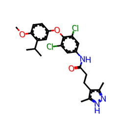 COc1ccc(Oc2c(Cl)cc(NC(=O)CCc3c(C)n[nH]c3C)cc2Cl)cc1C(C)C